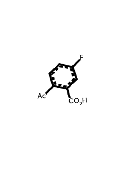 CC(=O)c1ccc(F)cc1C(=O)O